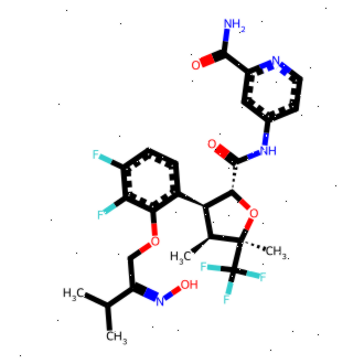 CC(C)C(COc1c([C@H]2[C@H](C(=O)Nc3ccnc(C(N)=O)c3)O[C@@](C)(C(F)(F)F)[C@H]2C)ccc(F)c1F)=NO